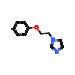 [c]1ccc(OCCn2ccnc2)cc1